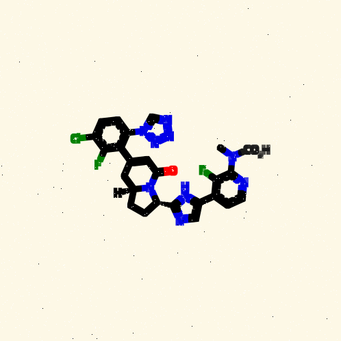 CN(C(=O)O)c1nccc(-c2cnc([C@@H]3CC[C@@H]4CC(c5c(-n6cnnn6)ccc(Cl)c5F)=CC(=O)N43)[nH]2)c1F